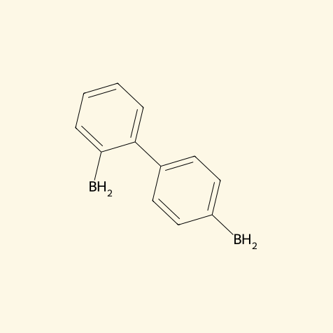 Bc1ccc(-c2ccccc2B)cc1